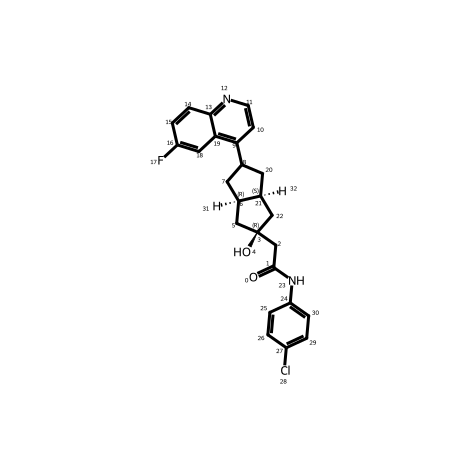 O=C(C[C@]1(O)C[C@H]2CC(c3ccnc4ccc(F)cc34)C[C@H]2C1)Nc1ccc(Cl)cc1